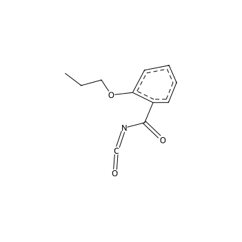 CCCOc1ccccc1C(=O)N=C=O